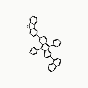 c1ccc(-c2c3ccc(-c4cccc5ccccc45)cc3c(-c3ccccc3)c3ccc(-c4ccc5oc6ccccc6c5c4)cc23)cc1